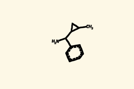 CC1CC1C(N)c1ccccc1